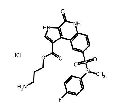 CN(c1ccc(F)cc1)S(=O)(=O)c1ccc2[nH]c(=O)c3[nH]cc(C(=O)OCCCN)c3c2c1.Cl